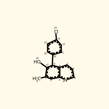 Cc1cc2ncccc2c(-c2ccc(Cl)cc2)c1O